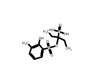 CCC(CC)(OS(=O)(=O)c1cccc(C)c1O)P(=O)(O)O